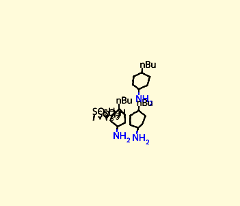 CCCCC1CCC(N)CC1.CCCCC1CCC(N)CC1.CCCCC1CCC(N)CC1.CS(=O)(=O)O.CS(=O)(=O)O.CS(=O)(=O)O